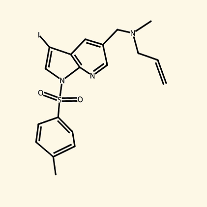 C=CCN(C)Cc1cnc2c(c1)c(I)cn2S(=O)(=O)c1ccc(C)cc1